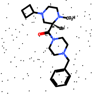 CC(C)(C)[C@]1(C(=O)N2CCN(Cc3ccccc3)CC2)CN(C2CCC2)CCN1C(=O)O